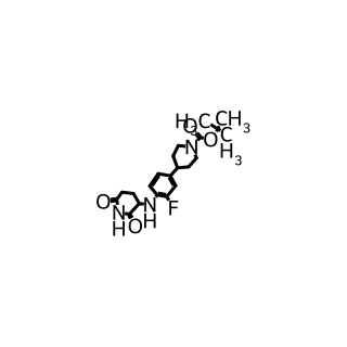 CC(C)(C)OC(=O)N1CCC(c2ccc(NC3CCC(=O)NC3=O)c(F)c2)CC1